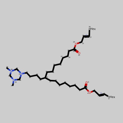 CCCCCC/C=C/COC(=O)CCCCCCCC(CCCCCCCC(=O)OC/C=C/CCCCCC)CCCCN1CN(C)CN(C)C1